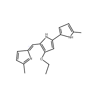 CCOc1cc(-c2ccc(C)[nH]2)[nH]c1/C=C1/C=CC(C)=N1